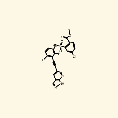 COC(=O)c1ccc(Cl)cc1S(=O)(=O)Nc1ccc(F)c(C#Cc2cnc3[nH]ncc3c2)c1F